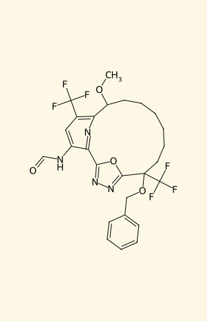 COC1CCCCCCC(OCc2ccccc2)(C(F)(F)F)c2nnc(o2)-c2nc1c(C(F)(F)F)cc2NC=O